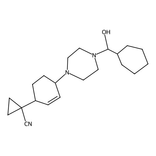 N#CC1(C2C=CC(N3CCN(C(O)C4CCCCC4)CC3)CC2)CC1